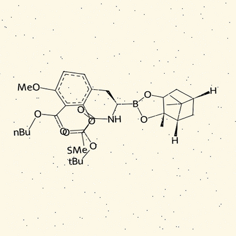 CCCCOC(=O)c1c(OC)ccc(C[C@H](NC(=O)CSC)B2OC3C[C@@H]4C[C@@H](C4(C)C)[C@]3(C)O2)c1OC(=O)OC(C)(C)C